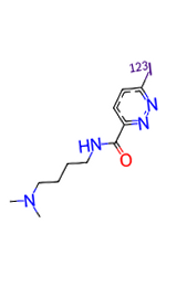 CN(C)CCCCNC(=O)c1ccc([123I])nn1